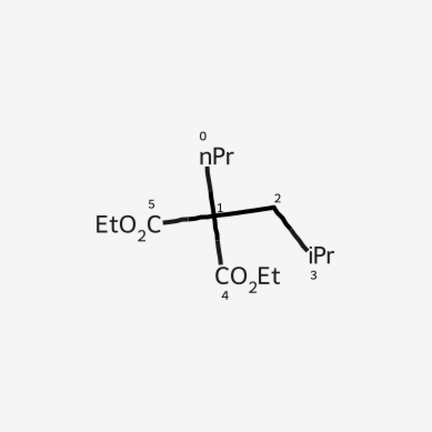 CCCC(CC(C)C)(C(=O)OCC)C(=O)OCC